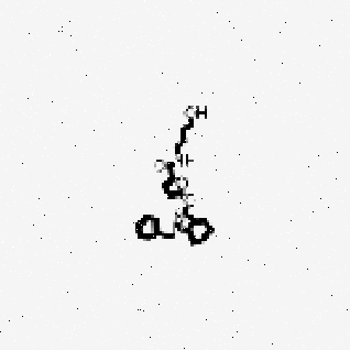 O=C(NCCCCO)c1ccc(Oc2nn(Cc3ccccc3)c3ccccc23)o1